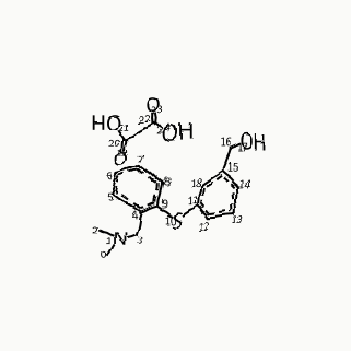 CN(C)Cc1ccccc1Sc1cccc(CO)c1.O=C(O)C(=O)O